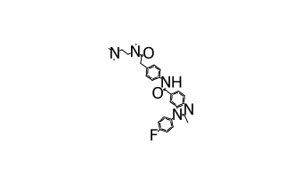 Cc1nc2ccc(C(=O)Nc3ccc(CC(=O)N(C)CCN(C)C)cc3)cc2n1-c1ccc(F)cc1